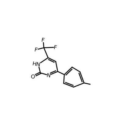 Cc1ccc(-c2cc(C(F)(F)F)[nH]c(=O)n2)cc1